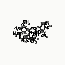 CCc1c(OC(=O)NN(C(=O)c2cc(OC)c(C)c(OC)c2)C(CC)C(C)(C)C)ccc2c1OCCO2